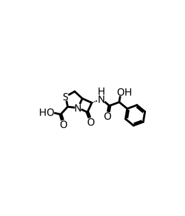 O=C(N[C@@H]1C(=O)N2C(C(=O)O)SCC12)C(O)c1ccccc1